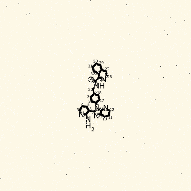 Nc1ncccc1-c1nc2cccnc2n1-c1ccc(CNC(=O)c2nccc3ccccc23)cc1